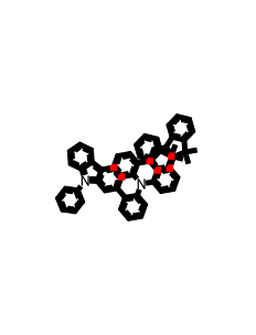 CC1(C)c2ccccc2-c2cc(-c3ccccc3N(c3ccccc3-c3ccc4c5ccccc5n(-c5ccccc5)c4c3)c3cccc4c3-c3ccccc3C4(C)C)ccc21